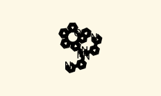 c1cncc(-c2cccc(-c3nc(-c4cccc(-c5cccnc5)c4)nc(-c4ccc5c(c4)-c4ccc6ccccc6c4Oc4ccccc4-c4ccccc4-c4ccccc4-5)n3)c2)c1